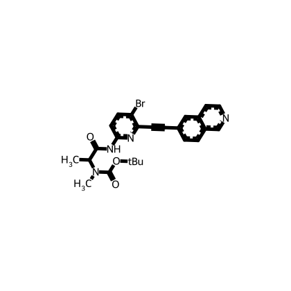 CC(C(=O)Nc1ccc(Br)c(C#Cc2ccc3cnccc3c2)n1)N(C)C(=O)OC(C)(C)C